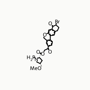 COC[C@H]1C[C@@H](C(=O)OCC(=O)c2ccc3c(c2)COc2cc4c(cc2-3)CCC(Br)C4=O)N(P)C1